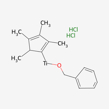 CC1=C(C)C(C)[C]([Ti][O]Cc2ccccc2)=C1C.Cl.Cl